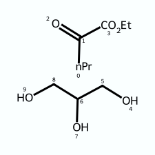 CCCC(=O)C(=O)OCC.OCC(O)CO